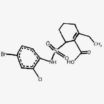 CCC1=C(C(=O)O)C(S(=O)(=O)Nc2ccc(Br)cc2Cl)CCC1